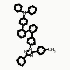 Cc1ccc(-c2nc(-c3ccccc3)nn2-c2ccc(-c3ccccc3-c3ccccc3-c3ccc(N(c4ccccc4)c4ccccc4)cc3)cc2)cc1